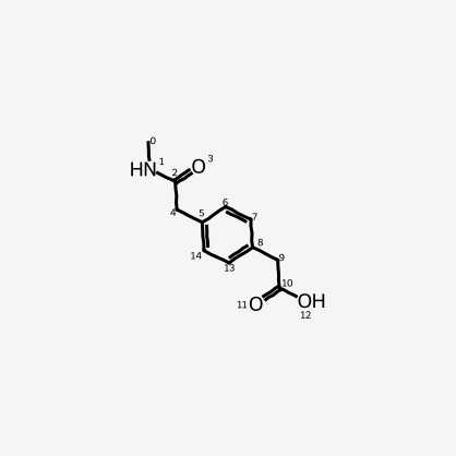 CNC(=O)Cc1ccc(CC(=O)O)cc1